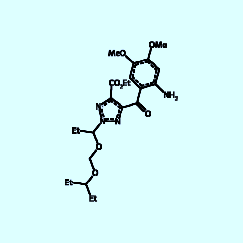 CCOC(=O)c1nn(C(CC)OCOC(CC)CC)nc1C(=O)c1cc(OC)c(OC)cc1N